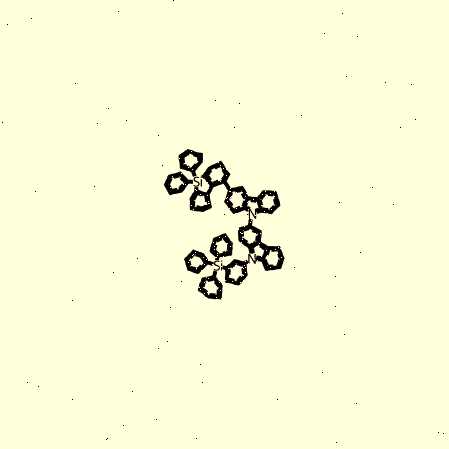 c1ccc([Si](c2ccccc2)(c2ccccc2)c2cccc(-n3c4ccccc4c4cc(-n5c6ccccc6c6cc(-c7cccc8c7-c7ccccc7[Si]8(c7ccccc7)c7ccccc7)ccc65)ccc43)c2)cc1